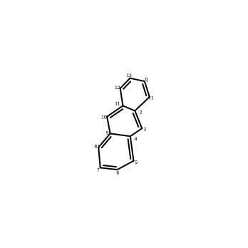 [c]1[c]c2cc3ccc[c]c3cc2cc1